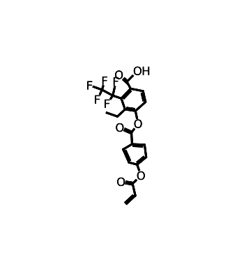 C=CC(=O)Oc1ccc(C(=O)Oc2ccc(C(=O)O)c(C(F)(F)C(F)(F)F)c2CC)cc1